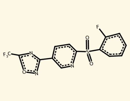 O=S(=O)(c1ccc(-c2noc(C(F)(F)F)n2)cn1)c1ccccc1F